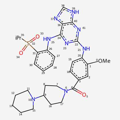 COc1cc(C(=O)N2CCC(N3CCCCC3)CC2)ccc1Nc1nc(Nc2ccccc2S(=O)(=O)C(C)C)c2nc[nH]c2n1